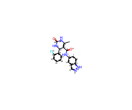 CC1=C(C(=O)Nc2ccc3[nH]ncc3c2)C(c2ccccc2F)NC(=O)N1